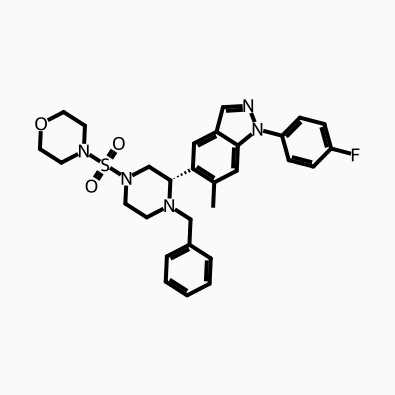 Cc1cc2c(cnn2-c2ccc(F)cc2)cc1[C@H]1CN(S(=O)(=O)N2CCOCC2)CCN1Cc1ccccc1